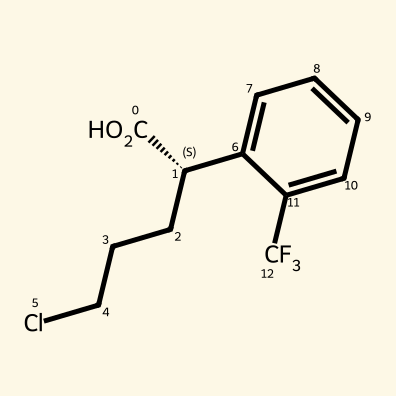 O=C(O)[C@@H](CCCCl)c1ccccc1C(F)(F)F